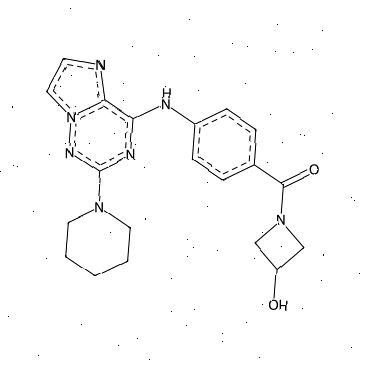 O=C(c1ccc(Nc2nc(N3CCCCC3)nn3ccnc23)cc1)N1CC(O)C1